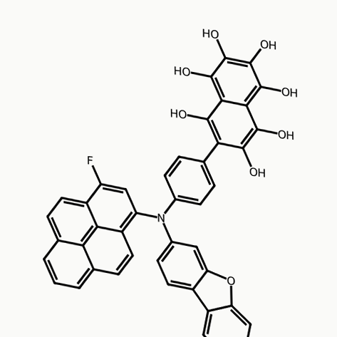 Oc1c(O)c(O)c2c(O)c(-c3ccc(N(c4ccc5c(c4)oc4ccccc45)c4cc(F)c5ccc6cccc7ccc4c5c67)cc3)c(O)c(O)c2c1O